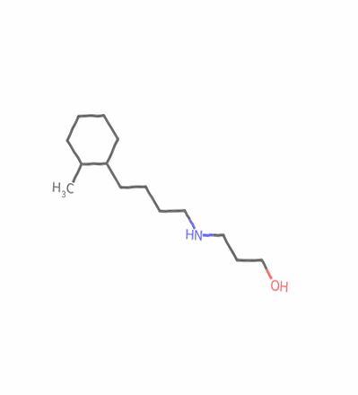 CC1CCCCC1CCCCNCCCO